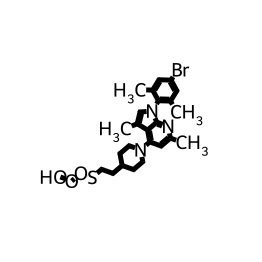 Cc1cc(N2CCC(CCSOOO)CC2)c2c(C)cn(-c3c(C)cc(Br)cc3C)c2n1